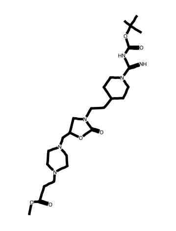 COC(=O)CCN1CCN(CC2CN(CCC3CCN(C(=N)NC(=O)OC(C)(C)C)CC3)C(=O)O2)CC1